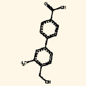 Cc1cc(-c2ccc(C(=O)O)cc2)ccc1CO